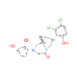 O=C1CN(C2CC[C@H](O)[C@@H]2O)C[C@@H]2C[C@H](c3c(O)ccc(Cl)c3Cl)CN12